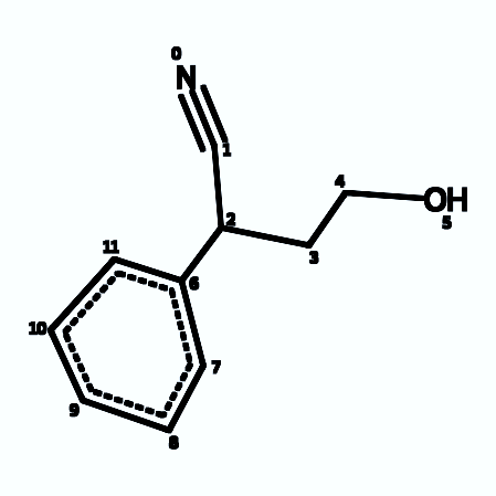 N#CC(CCO)c1ccccc1